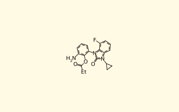 CCC(=O)Oc1c(N)cccc1-n1c(=O)n(C2CC2)c2cccc(F)c21